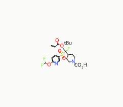 C=CC(=O)OC(C)(C)C.CC(F)(C1CCN(C(=O)O)CC1)S(=O)(=O)c1ccc(OC(F)F)nc1